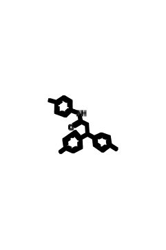 Cc1ccc(NC(=O)CC(c2ccc(C)cc2)c2ccc(C)cc2)cc1